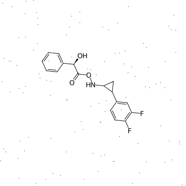 O=C(ONC1CC1c1ccc(F)c(F)c1)[C@H](O)c1ccccc1